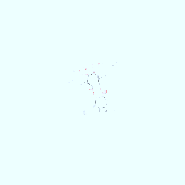 CC(C)Cc1cc(CC(C)C)c2oc3c(CC(C)C)c(=O)c(=O)c(CC(C)C)c-3oc2c1